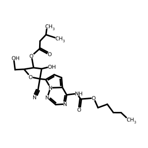 CCCCCOC(=O)Nc1ncnn2c(C3(C#N)OC(CO)C(OC(=O)CC(C)C)C3O)ccc12